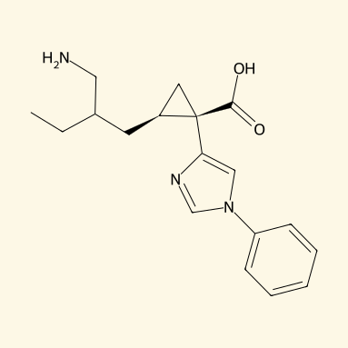 CCC(CN)C[C@H]1C[C@]1(C(=O)O)c1cn(-c2ccccc2)cn1